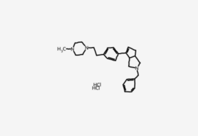 CN1CCN(CCc2ccc(C3=CCC4CN(Cc5ccccc5)CC34)cc2)CC1.Cl.Cl